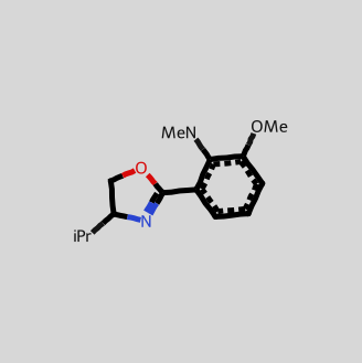 CNc1c(OC)cccc1C1=NC(C(C)C)CO1